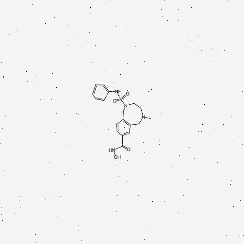 CN1CCN(S(=O)(=O)Nc2ccccc2)Cc2ccc(C(=O)NO)cc2C1